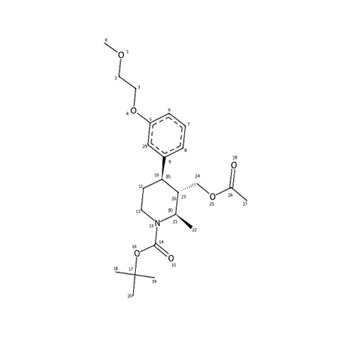 COCCOc1cccc([C@@H]2CCN(C(=O)OC(C)(C)C)[C@H](C)[C@H]2COC(C)=O)c1